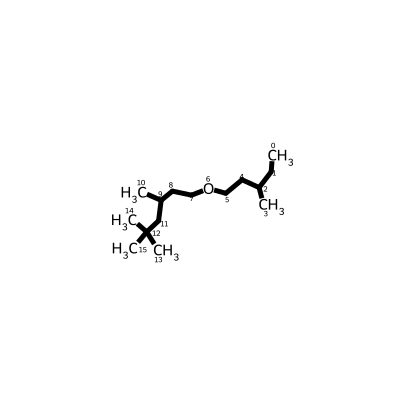 CCC(C)CCOCCC(C)CC(C)(C)C